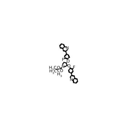 CC(C)(C)OC(=O)N1CCC(Oc2ccc(-c3cnc4ccccc4c3)cc2F)C(Oc2ccc(-c3cnc4ccccc4c3)cc2F)C1